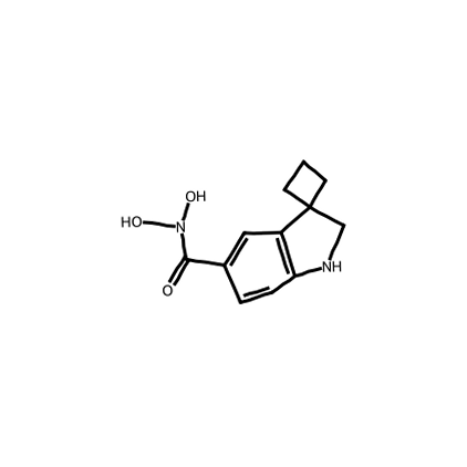 O=C(c1ccc2c(c1)C1(CCC1)CN2)N(O)O